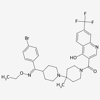 CCON=C(c1ccc(Br)cc1)C1CCN(C2(C)CCN(C(=O)c3cnc4cc(C(F)(F)F)ccc4c3O)CC2)CC1